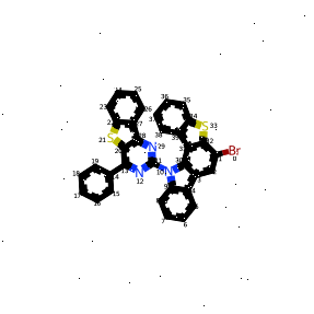 Brc1cc2c3ccccc3n(-c3nc(-c4ccccc4)c4sc5ccccc5c4n3)c2c2c1sc1ccccc12